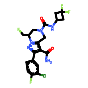 NC(=O)c1c(-c2ccc(F)c(Cl)c2)nn2c1CN(C(=O)NC1CC(F)(F)C1)CC2CF